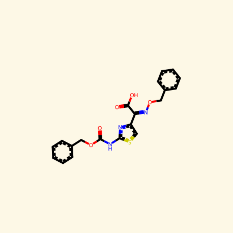 O=C(Nc1nc(C(=NOCc2ccccc2)C(=O)O)cs1)OCc1ccccc1